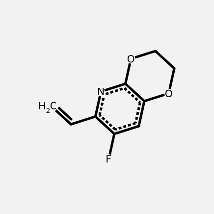 C=Cc1nc2c(cc1F)OCCO2